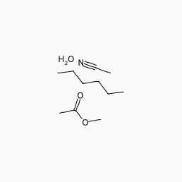 CC#N.CCCCCC.COC(C)=O.O